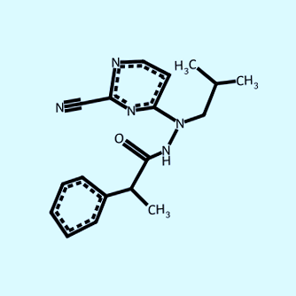 CC(C)CN(NC(=O)C(C)c1ccccc1)c1ccnc(C#N)n1